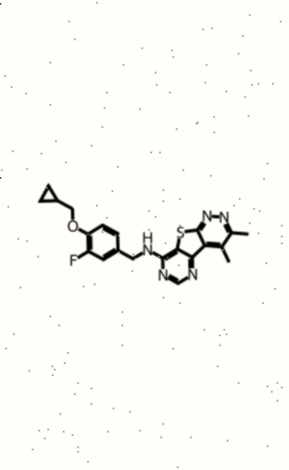 Cc1nnc2sc3c(NCc4ccc(OCC5CC5)c(F)c4)ncnc3c2c1C